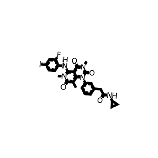 Cc1c(=O)n(C)c(Nc2ccc(I)cc2F)c2c(=O)n(C)c(=O)n(-c3cccc(CC(=O)NC4CC4)c3)c12